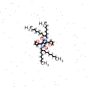 CCCCCCCCC(CCCCCC)CN1C(=O)C2=C(C3CC=CO3)N(CC(CCCCCC)CCCCCCCC)C(=O)C2=C1c1ccco1